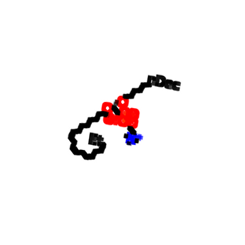 CC/C=C\C/C=C\C/C=C\C/C=C\CCCCCCC(=O)O[C@H](COCCCCCCCCCCCCCCCC)COP(=O)(O)OCC[N+](C)(C)C